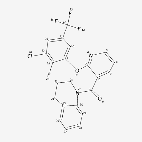 O=C(c1cccnc1Oc1cc(C(F)(F)F)cc(Cl)c1F)N1CCCc2ccccc21